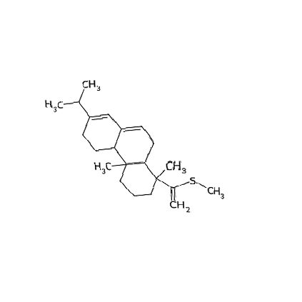 C=C(SC)C1(C)CCCC2(C)C3CCC(C(C)C)=CC3=CCC12